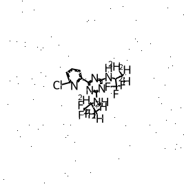 [2H]C([2H])([2H])C(Nc1nc(NC([2H])(C([2H])([2H])[2H])C(F)(F)F)nc(-c2cccc(Cl)n2)n1)C(F)(F)F